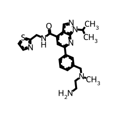 CC(C)n1ncc2c(C(=O)NCc3nccs3)cc(-c3cccc(CN(C)CCN)c3)nc21